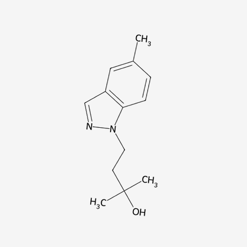 Cc1ccc2c(cnn2CCC(C)(C)O)c1